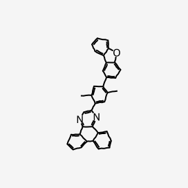 Cc1cc(-c2cnc3c4ccccc4c4ccccc4c3n2)c(C)cc1-c1ccc2oc3ccccc3c2c1